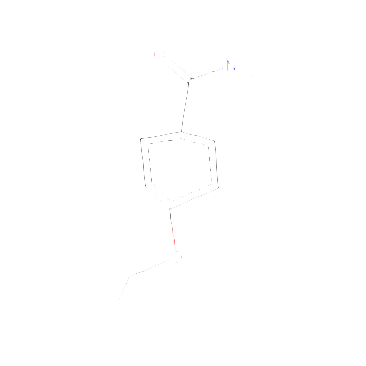 NC(=O)c1ccc(OCF)cc1